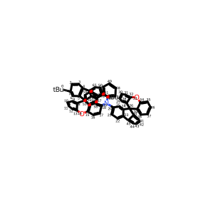 CC(C)(C)c1ccc2c(c1)C1(c3ccccc3Oc3ccc(N(c4ccc5c(c4)C4(c6ccccc6Oc6ccccc64)c4ccccc4-5)c4ccccc4-c4ccccc4)cc31)c1cc(C(C)(C)C)ccc1-2